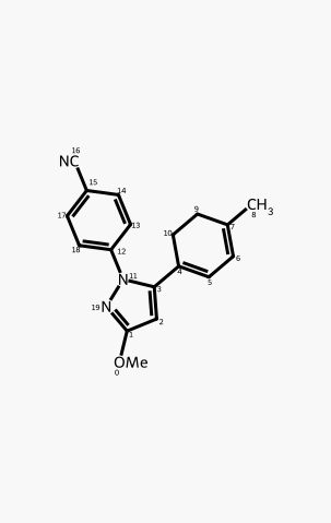 COc1cc(C2=CC=C(C)CC2)n(-c2ccc(C#N)cc2)n1